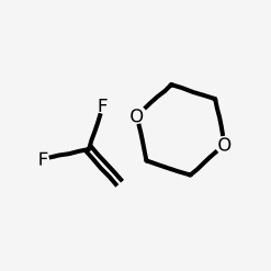 C1COCCO1.C=C(F)F